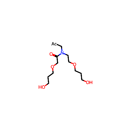 CC(=O)CN(CCOCCCO)C(=O)COCCCO